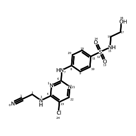 N#CCNc1nc(Nc2ccc(S(=O)(=O)NCCO)cc2)ncc1Cl